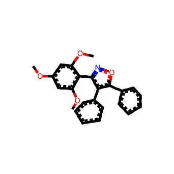 COc1cc(OC)c(-c2noc(-c3ccccc3)c2-c2ccccc2)c(OC)c1